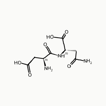 NC(=O)C[C@H](NC(=O)[C@@H](N)CC(=O)O)C(=O)O